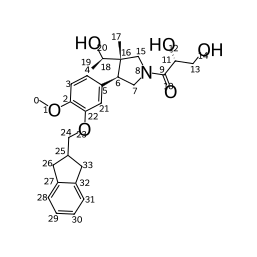 COc1ccc([C@@H]2CN(C(=O)[C@H](O)CO)C[C@@]2(C)[C@@H](C)O)cc1OCC1Cc2ccccc2C1